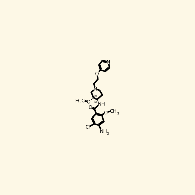 COc1cc(N)c(Cl)cc1C(=O)N[C@H]1CCN(CCOc2ccncc2)C[C@H]1OC